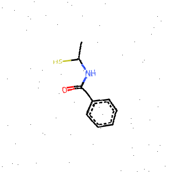 CC(S)NC(=O)c1ccccc1